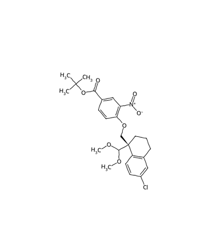 COC(OC)[C@]1(COc2ccc(C(=O)OC(C)(C)C)cc2[N+](=O)[O-])CCCc2cc(Cl)ccc21